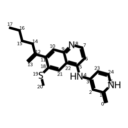 C=C1C=C(Nc2ccnc3cc(C(=C)CCCC)c(SC)cc23)C=CN1